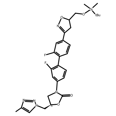 Cc1cn(C[C@H]2CN(c3ccc(-c4ccc(C5=NOC(CO[Si](C)(C)C(C)(C)C)C5)cc4F)c(F)c3)C(=O)O2)nn1